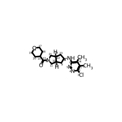 Cc1c(Cl)nnc(N[C@@H]2C[C@@H]3CN(C(=O)C4CCOCC4)C[C@@H]3C2)c1C